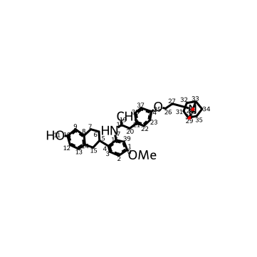 COc1ccc(C2CCc3cc(O)ccc3C2)c(NC(C)Cc2ccc(OCCN3CC4CCC(CC4)C3)cc2)c1